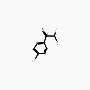 O=C([C](F)F)c1ccc(F)cc1